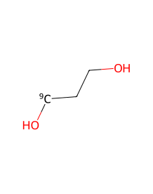 OCC[9CH2]O